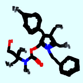 Cc1c(-c2ccc(C(F)(F)F)cc2)c(OC(=O)N(C)C(C)(C)CO)n(Cc2ccccc2)c1C(F)(F)F